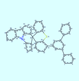 c1ccc(-c2cc(-c3ccccc3)cc(-c3cccc4c3Sc3ccccc3C43c4ccccc4-n4c5ccccc5c5cccc3c54)c2)cc1